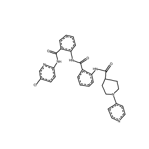 O=C(Nc1ccc(Cl)cn1)c1ccccc1NC(=O)c1ccccc1NC(=O)C1CCN(c2ccncc2)CC1